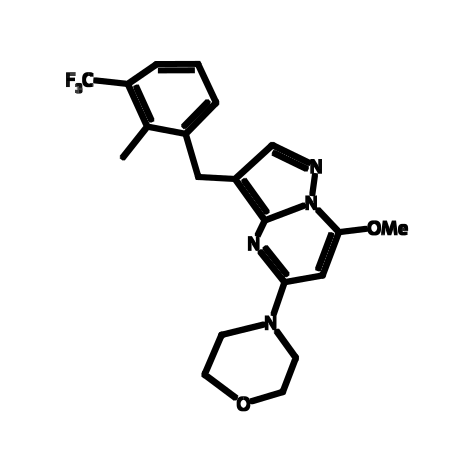 COc1cc(N2CCOCC2)nc2c(Cc3cccc(C(F)(F)F)c3C)cnn12